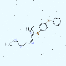 C/C=C\C=C/C/C=C\C=C(\C)Sc1ccc(Sc2ccccc2)cc1